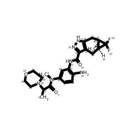 CC(C(=O)N(C)c1ccc(N)c(NC(=O)c2n[nH]c3c2C[C@@H]2C(F)(F)[C@]2(C)C3)c1)N1CCOCC1